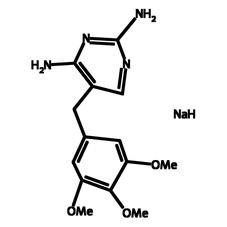 COc1cc(Cc2cnc(N)nc2N)cc(OC)c1OC.[NaH]